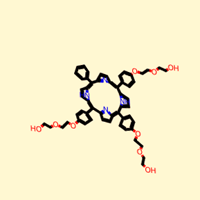 OCCOCCOc1ccc(-c2c3nc(c(-c4ccc(OCCOCCO)cc4)c4ccc([nH]4)c(-c4ccc(OCCOCCO)cc4)c4nc(c(-c5ccccc5)c5ccc2[nH]5)C=C4)C=C3)cc1